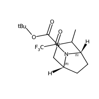 CC1[C@@H]2CC[C@H](CN1C(=O)OC(C)(C)C)N2C(=O)C(F)(F)F